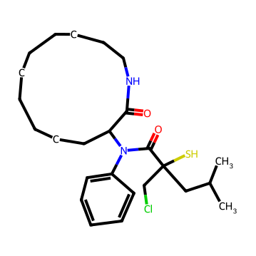 CC(C)CC(S)(CCl)C(=O)N(c1ccccc1)C1CCCCCCCCCCNC1=O